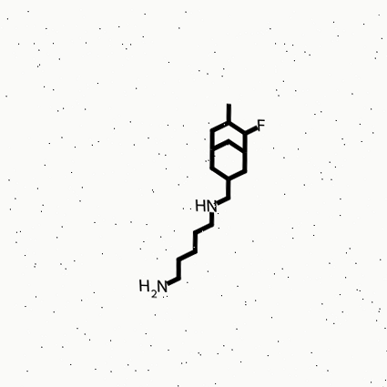 CC1CC2CC(CNCCCCCN)CC(C2)C1F